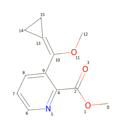 COC(=O)c1ncccc1C(OC)=C1CC1